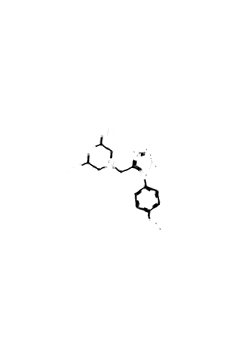 CC1CN(Cc2nnnn2-c2ccc(C#N)cc2)CC(C)O1